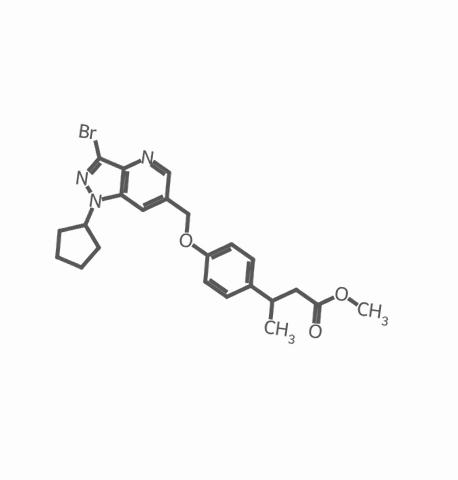 COC(=O)CC(C)c1ccc(OCc2cnc3c(Br)nn(C4CCCC4)c3c2)cc1